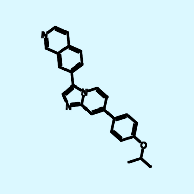 CC(C)Oc1ccc(-c2ccn3c(-c4ccc5ccncc5c4)cnc3c2)cc1